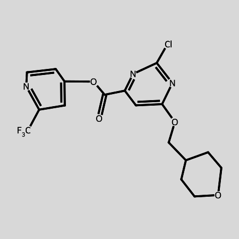 O=C(Oc1ccnc(C(F)(F)F)c1)c1cc(OCC2CCOCC2)nc(Cl)n1